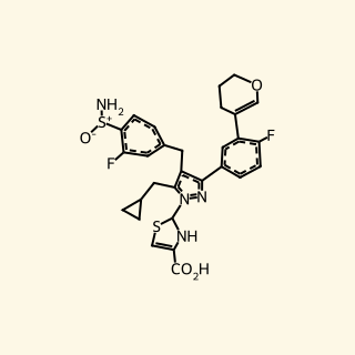 N[S+]([O-])c1ccc(Cc2c(-c3ccc(F)c(C4=COCCC4)c3)nn(C3NC(C(=O)O)=CS3)c2CC2CC2)cc1F